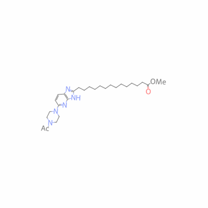 COC(=O)CCCCCCCCCCCCCc1nc2ccc(N3CCN(C(C)=O)CC3)nc2[nH]1